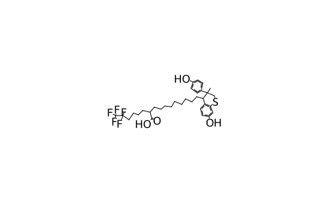 CC1(c2ccc(O)cc2)CSc2cc(O)ccc2C1CCCCCCCCCC(CCCCC(F)(F)C(F)(F)F)C(=O)O